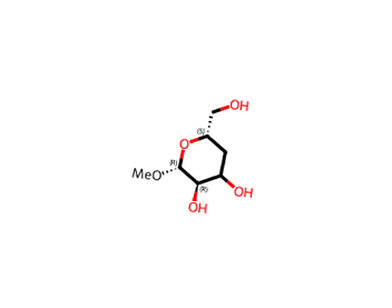 CO[C@@H]1O[C@H](CO)CC(O)[C@H]1O